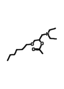 CCCCCCOCC(CN(CC)CC)OC(C)=O